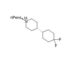 CCCCC[Si@H]1CC[C@H](C2CCC(F)(F)CC2)CC1